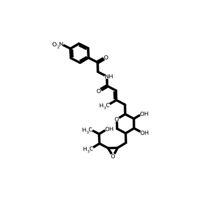 C/C(=C\C(=O)NCC(=O)c1ccc([N+](=O)[O-])cc1)CC1OCC(CC2OC2C(C)C(C)O)C(O)C1O